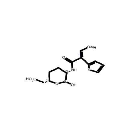 CO/C=C(/C(=O)N[C@H]1CC[C@@H](CC(=O)O)OB1O)c1cccs1